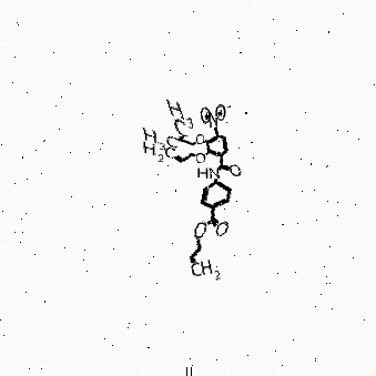 C=CCOC(=O)c1ccc(NC(=O)c2ccc([N+](=O)[O-])c(OCC(C)C)c2OCC=C)cc1